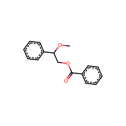 COC(COC(=O)c1[c]cccc1)c1ccccc1